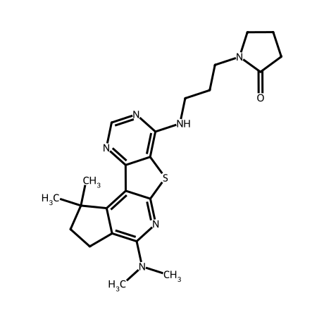 CN(C)c1nc2sc3c(NCCCN4CCCC4=O)ncnc3c2c2c1CCC2(C)C